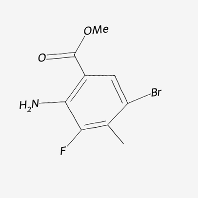 COC(=O)c1cc(Br)c(C)c(F)c1N